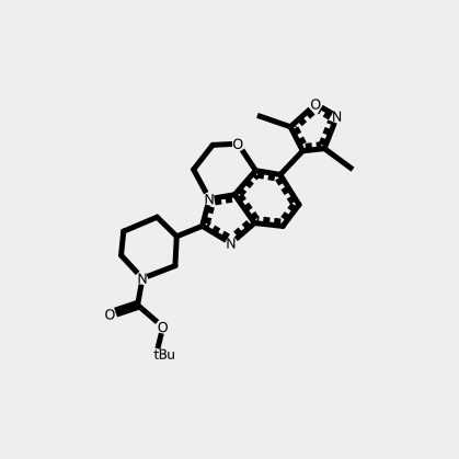 Cc1noc(C)c1-c1ccc2nc(C3CCCN(C(=O)OC(C)(C)C)C3)n3c2c1OCC3